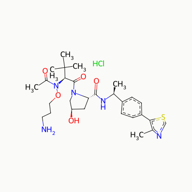 CC(=O)N(OCCCN)[C@H](C(=O)N1C[C@H](O)C[C@H]1C(=O)N[C@@H](C)c1ccc(-c2scnc2C)cc1)C(C)(C)C.Cl